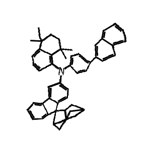 CC1(C)CCC(C)(C)c2c(N(c3ccc(-c4ccc5ccccc5c4)cc3)c3ccc4c(c3)-c3ccccc3C43C4CC5CC(C4)C3C5)cccc21